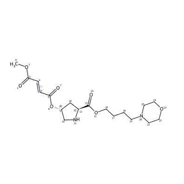 COC(=O)/C=C/C(=O)O[C@H]1CN[C@H](C(=O)OCCCCN2CCOCC2)C1